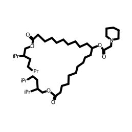 CC(C)CCC(COC(=O)CCCCCCCCCC(CCCCCCCCCC(=O)OCC(CCC(C)C)C(C)C)OC(=O)CN1CCCCC1)C(C)C